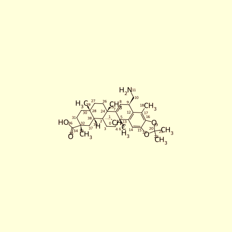 CC[C@@]12CC[C@]3(C)C(=C[C@@H](CN)c4c3cc3c(c4C)OC(C)(C)O3)[C@@]1(C)CC[C@@]1(C)CC[C@@](C)(C(=O)O)C[C@H]12